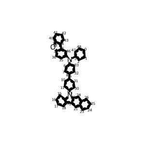 c1ccc(N(c2ccc(-c3ccc(-n4c5ccccc5c5cc6ccccc6cc54)cc3)cc2)c2ccc3oc4ccccc4c3c2)cc1